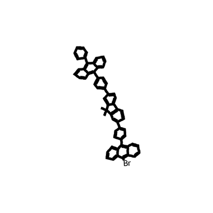 CC1(C)c2cc(-c3ccc(-c4c5ccccc5c(Br)c5ccccc45)cc3)ccc2-c2ccc(-c3ccc(-c4c5ccccc5c(-c5ccccc5)c5ccccc45)cc3)cc21